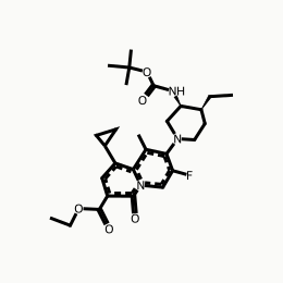 CCOC(=O)c1cc(C2CC2)c2c(C)c(N3CC[C@H](CC)[C@H](NC(=O)OC(C)(C)C)C3)c(F)cn2c1=O